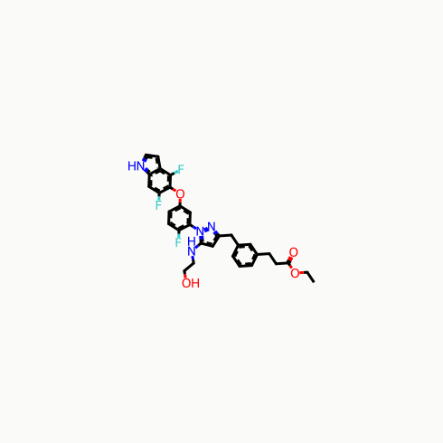 CCOC(=O)CCc1cccc(Cc2cc(NCCO)n(-c3cc(Oc4c(F)cc5[nH]ccc5c4F)ccc3F)n2)c1